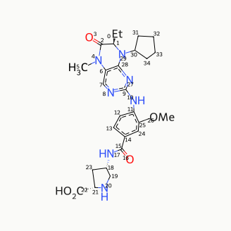 CC[C@@H]1C(=O)N(C)c2cnc(Nc3ccc(C(=O)N[C@@H]4CN[C@H](C(=O)O)C4)cc3OC)nc2N1C1CCCC1